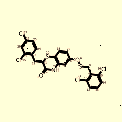 O=C1Nc2cc(OSCc3c(Cl)cccc3Cl)ccc2S/C1=C\c1ccc(Cl)cc1Cl